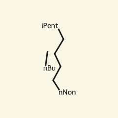 CCCCC.CCCCCCCCCCCCCC(C)CCC